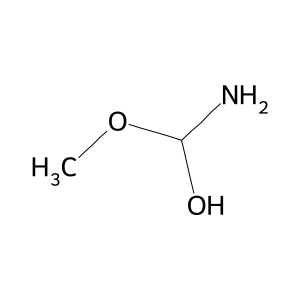 COC(N)O